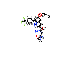 COc1cc(C2=CCC(C(F)(F)F)CC2)c2ncc(C(=O)NCc3ncco3)cc2c1